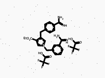 CCOC(=O)c1cn(Cc2cccc(C(=N)N)c2)cc1Cc1ccc(C(=N)N)cc1.O=C(O)C(F)(F)F.O=C(O)C(F)(F)F